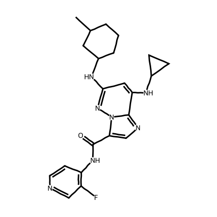 CC1CCCC(Nc2cc(NC3CC3)c3ncc(C(=O)Nc4ccncc4F)n3n2)C1